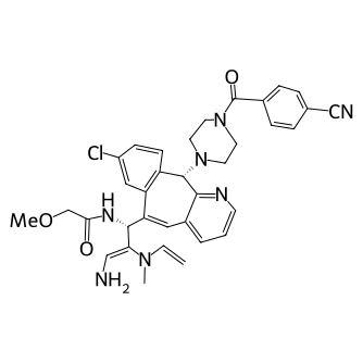 C=CN(C)/C(=C\N)[C@H](NC(=O)COC)C1=Cc2cccnc2[C@@H](N2CCN(C(=O)c3ccc(C#N)cc3)CC2)c2ccc(Cl)cc21